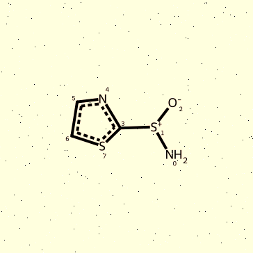 N[S+]([O-])c1nccs1